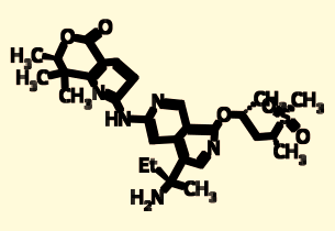 CC[C@@](C)(N)c1cnc(O[C@H](C)C[C@@H](C)S(C)(=O)=O)c2cnc(Nc3ccc4c(n3)C(C)(C)[C@@H](C)OC4=O)cc12